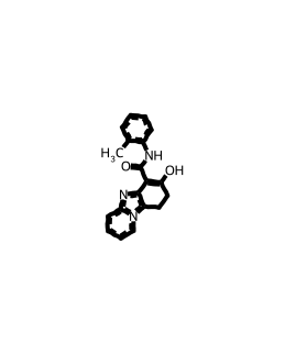 Cc1ccccc1NC(=O)C1=C(O)CCc2c1nc1ccccn21